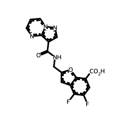 O=C(O)c1cc(F)c(F)c2cc(CNC(=O)c3cnn4cccnc34)oc12